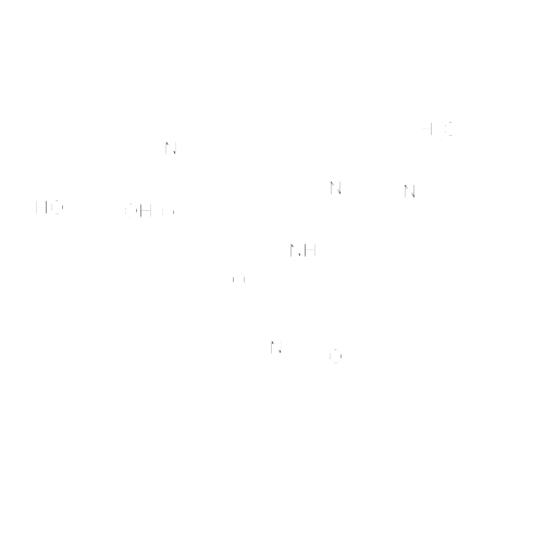 Cc1ccccc1N1CCN(c2cc3c(cc2NC(=O)c2coc(C4CC4)n2)C(=O)N([C@H]2CCCC(O)C2O)CC3)CC1